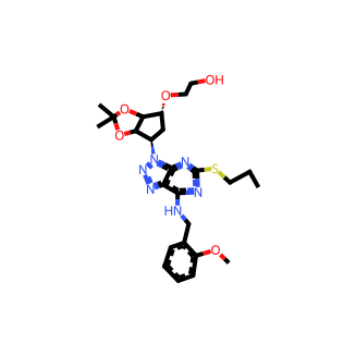 CCCSc1nc(NCc2ccccc2OC)c2nnn([C@@H]3C[C@@H](OCCO)C4OC(C)(C)OC43)c2n1